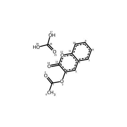 CC(=O)Oc1cc2ccccc2oc1=O.O=C(O)O